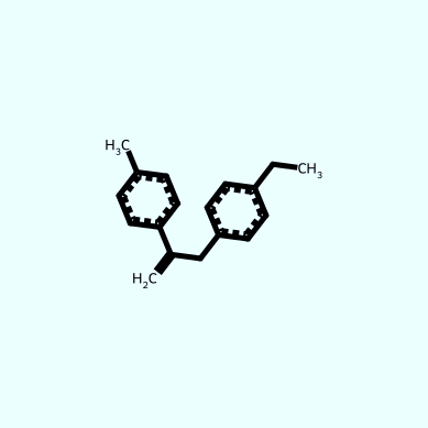 C=C(Cc1ccc(CC)cc1)c1ccc(C)cc1